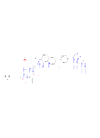 CCO[C@@H]1CN(C(=O)[C@@H](NC(=O)OC)C(C)C)[C@](C)(c2nc3ccc4cc5c(cc4c3[nH]2)OCc2cc(-c3cnc([C@@H]4CCCN4)[nH]3)ccc2-5)C1